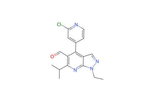 CCn1ncc2c(-c3ccnc(Cl)c3)c(C=O)c(C(C)C)nc21